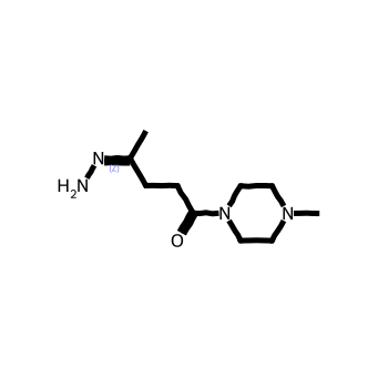 C/C(CCC(=O)N1CCN(C)CC1)=N/N